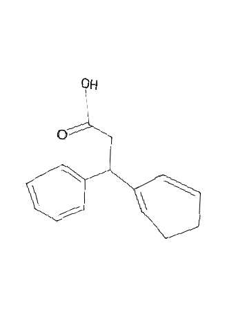 O=C(O)CC(C1=CCCC=C1)c1ccccc1